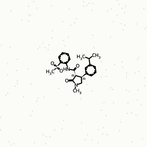 CC(C)c1cccc([C@H]2CN(C)C(=O)[C@@H]2C(=O)Nc2ccccc2S(C)(=O)=O)c1